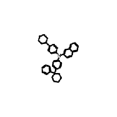 c1ccc(C2(c3ccc(N(c4ccc(C5CCCCC5)cc4)c4ccc5ccccc5c4)cc3)CCCCC2)cc1